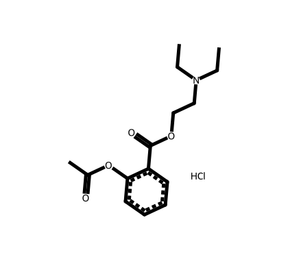 CCN(CC)CCOC(=O)c1ccccc1OC(C)=O.Cl